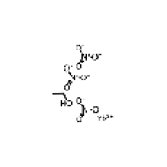 CCO.O=[N+]([O-])[O-].O=[N+]([O-])[O-].O=[N+]([O-])[O-].[Yb+3]